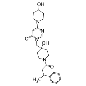 CC(CC(=O)N1CCC(O)(Cn2cnc(N3CCC(O)CC3)cc2=O)CC1)c1ccccc1